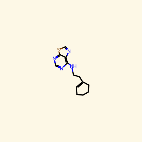 C1=C(CCNc2ncnc3scnc23)CCCC1